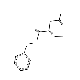 CN=C(CC(=O)O)C(=O)OBc1ccccc1.O.O